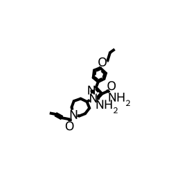 CC#CC(=O)N1CCCC(n2nc(-c3ccc(OCCC)cc3)c(C(N)=O)c2N)CCC1